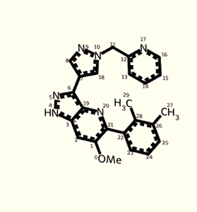 COc1cc2[nH]nc(-c3cnn(Cc4ccccn4)c3)c2nc1-c1cccc(C)c1C